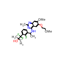 COCCOc1cc2c(NC(C)c3cccc(C(F)(F)C(C)(C)O)c3F)nc(C)nc2cc1OC